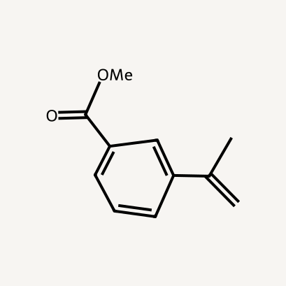 C=C(C)c1cccc(C(=O)OC)c1